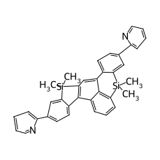 C[Si]1(C)c2cc(-c3ccccn3)ccc2-c2c1cc1c3c(cccc23)[Si](C)(C)c2cc(-c3ccccn3)ccc2-1